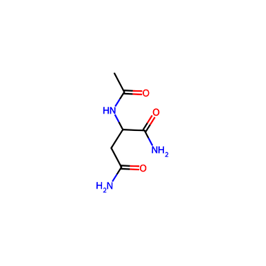 CC(=O)NC(CC(N)=O)C(N)=O